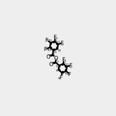 O=C(OC(=O)c1cc(F)c(F)c(F)c1F)c1cc(F)c(F)c(F)c1F